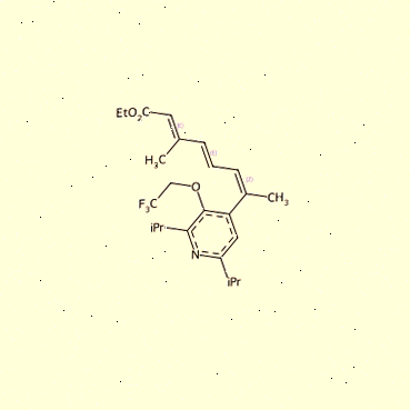 CCOC(=O)/C=C(C)/C=C/C=C(/C)c1cc(C(C)C)nc(C(C)C)c1OCC(F)(F)F